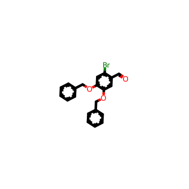 O=Cc1cc(OCc2ccccc2)c(OCc2ccccc2)cc1Br